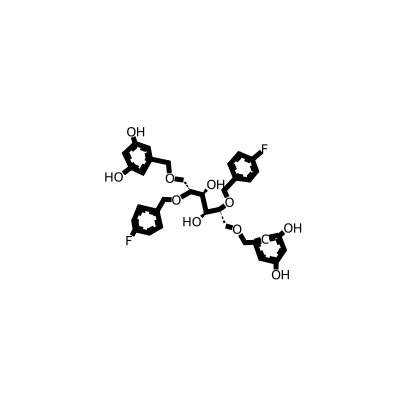 Oc1cc(O)cc(COC[C@@H](OCc2ccc(F)cc2)[C@@H](O)[C@H](O)[C@@H](COCc2cc(O)cc(O)c2)OCc2ccc(F)cc2)c1